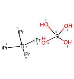 C[CH](C)[Ti]([CH](C)C)([CH](C)C)[CH](C)C.O[Si](O)(O)O